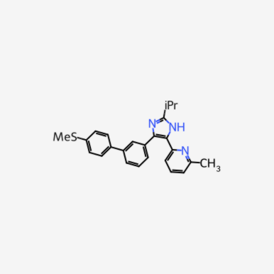 CSc1ccc(-c2cccc(-c3nc(C(C)C)[nH]c3-c3cccc(C)n3)c2)cc1